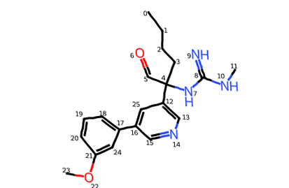 CCCCC(C=O)(NC(=N)NC)c1cncc(-c2cccc(OC)c2)c1